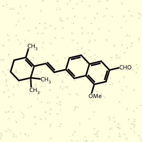 COc1cc(C=O)cc2ccc(C=CC3=C(C)CCCC3(C)C)cc12